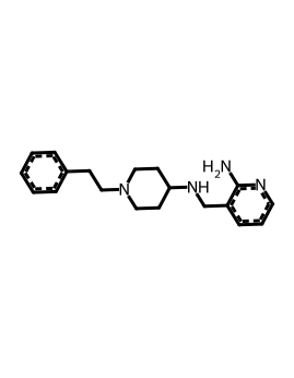 Nc1ncccc1CNC1CCN(CCc2ccccc2)CC1